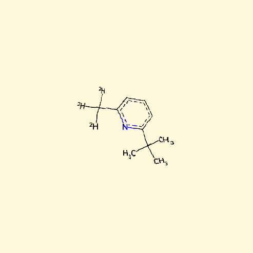 [2H]C([2H])([2H])c1cccc(C(C)(C)C)n1